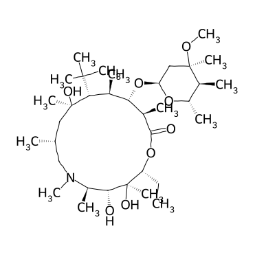 CC[C@H]1OC(=O)[C@H](C)[C@@H](O[C@H]2C[C@@](C)(OC)[C@@H](C)[C@H](C)O2)[C@H](C)[C@@H](C(C)(C)C)[C@](C)(O)C[C@@H](C)CN(C)[C@H](C)[C@@H](O)[C@]1(C)O